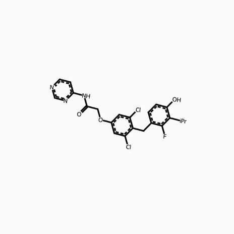 CC(C)c1c(O)ccc(Cc2c(Cl)cc(OCC(=O)Nc3ccncn3)cc2Cl)c1F